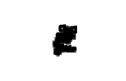 COc1ccccc1-c1ccc(C[C@H](NC(=O)c2cccn2S(=O)(=O)c2cc(Cl)cc(Cl)c2)C(=O)O)cc1